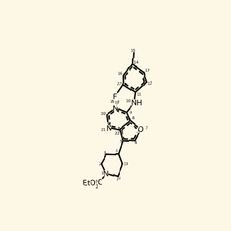 CCOC(=O)N1CCC(c2coc3c(Nc4ccc(C)cc4F)ncnc23)CC1